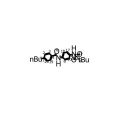 CCCCc1ccc(C(=O)Nc2ccc(NS(=O)(=O)C(C)(C)C)cc2)cc1